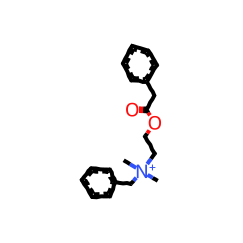 C[N+](C)(CCOC(=O)Cc1ccccc1)Cc1ccccc1